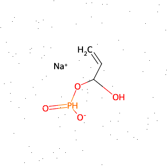 C=CC(O)O[PH](=O)[O-].[Na+]